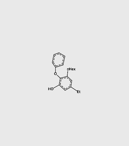 CCCCCCc1cc(CC)cc(O)c1Oc1ccccc1